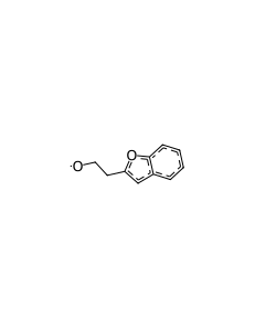 [O]CCc1cc2ccccc2o1